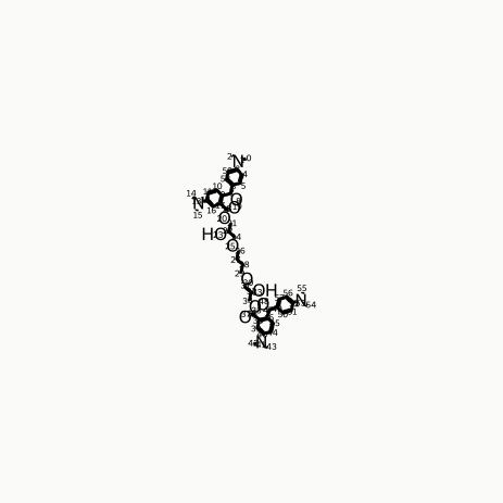 CN(C)c1ccc(C(=O)c2ccc(N(C)C)cc2C(=O)OCC(O)COCCCCOCC(O)COC(=O)c2cc(N(C)C)ccc2C(=O)c2ccc(N(C)C)cc2)cc1